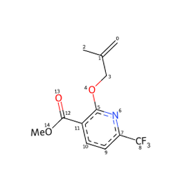 C=C(C)COc1nc(C(F)(F)F)ccc1C(=O)OC